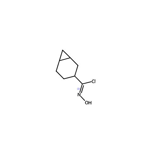 O/N=C(\Cl)C1CCC2CC2C1